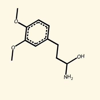 COc1ccc(CCC(N)O)cc1OC